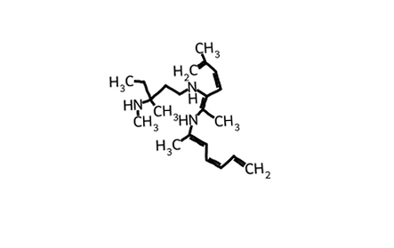 C=C/C=C\C=C(/C)N/C(C)=C(/C=C\C(=C)C)NCCC(C)(CC)NC